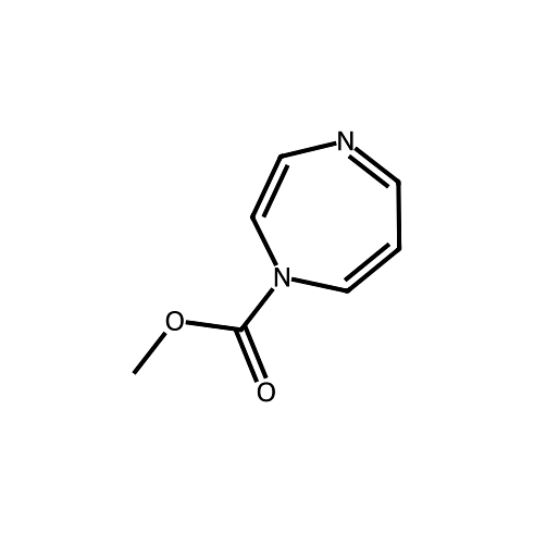 COC(=O)N1C=CC=NC=C1